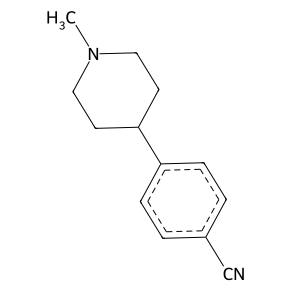 CN1CCC(c2ccc(C#N)cc2)CC1